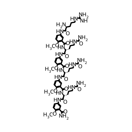 COc1ccc(NC(=O)[C@@H](CCCNC(N)=O)NC(=O)c2cc(NC(=O)[C@@H](CCCNC(N)=O)NC(=O)c3cc(NC(=O)[C@@H](CCCNC(N)=O)NC(=O)c4cc(NC(=O)[C@H](N)CCCNC(=N)N)ccc4OC)ccc3OC)ccc2OC)cc1C(N)=O